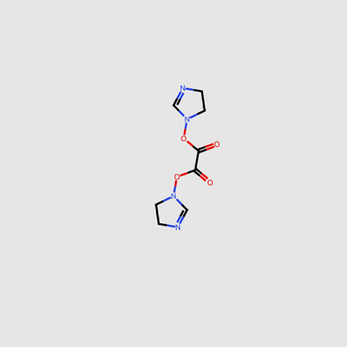 O=C(ON1C=NCC1)C(=O)ON1C=NCC1